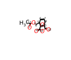 CC(=O)OCC12C=CC(O1)C1C(=O)OC(=O)C12